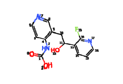 O=C(O)Nc1ccncc1CC(O)c1cccnc1F